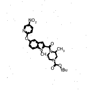 CC1CN(C(=O)OC(C)(C)C)CCN1C(=O)c1cc2cc(Oc3ccc([N+](=O)[O-])cn3)ccc2n1C